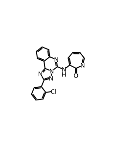 O=c1nccccc1Nc1nc2ccccc2c2nc(-c3ccccc3Cl)nn12